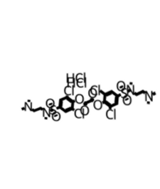 CN(C)CCN(C)S(=O)(=O)c1cc(Cl)c(OC(=O)C(=O)Oc2c(Cl)cc(S(=O)(=O)N(C)CCN(C)C)cc2Cl)c(Cl)c1.Cl.Cl